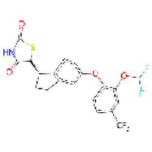 O=C1NC(=O)C([C@@H]2CCc3cc(Oc4ccc(C(F)(F)F)cc4OC(F)F)ccc32)S1